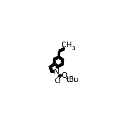 CC=Cc1ccc2c(ccn2C(=O)OC(C)(C)C)c1